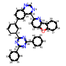 C1=CC(c2ccc3ncnc(-c4ccc5oc6ccccc6c5n4)c3c2)=CC(c2nc(-c3ccccc3)nc(-c3ccccc3)n2)C1